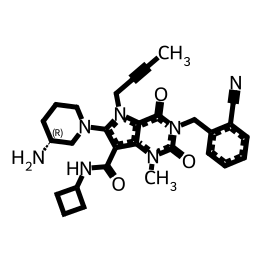 CC#CCn1c(N2CCC[C@@H](N)C2)c(C(=O)NC2CCC2)c2c1c(=O)n(Cc1ccccc1C#N)c(=O)n2C